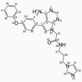 Nc1ncnc2c1c(-c1ccc(Oc3ccccc3)cc1)cn2CC(=O)NCCCn1ccnc1